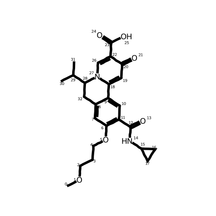 COCCCOc1cc2c(cc1C(=O)NC1CC1)-c1cc(=O)c(C(=O)O)cn1C(C(C)C)C2